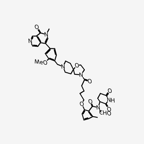 COc1cc(-c2cn(C)c(=O)c3cnccc23)ccc1CN1CCC2(CC1)CN(C(=O)CCCCOc1cccc(C)c1C(=O)N(C=O)C1CCC(=O)NC1=O)CCO2